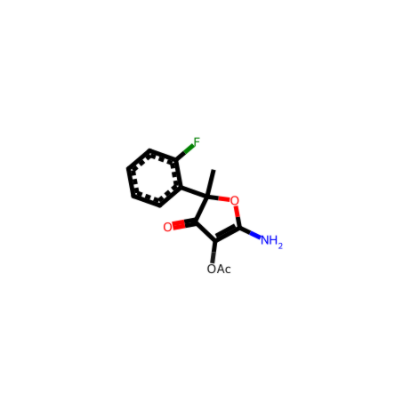 CC(=O)OC1=C(N)OC(C)(c2ccccc2F)C1=O